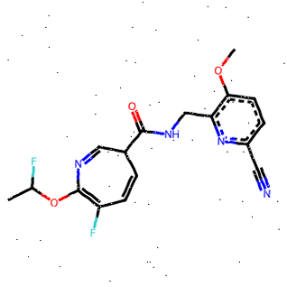 COc1ccc(C#N)nc1CNC(=O)C1C=CC(F)=C(OC(C)F)N=C1